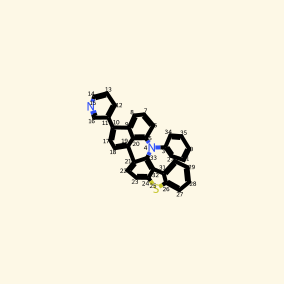 c1ccc(N2c3cccc4c(-c5cccnc5)ccc(c34)-c3ccc4sc5ccccc5c4c32)cc1